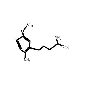 Cc1ccc(OC(F)(F)F)cc1CCCC(C)N